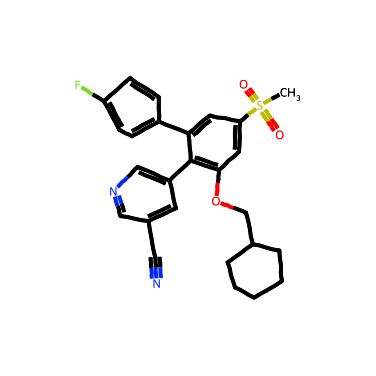 CS(=O)(=O)c1cc(OCC2CCCCC2)c(-c2cncc(C#N)c2)c(-c2ccc(F)cc2)c1